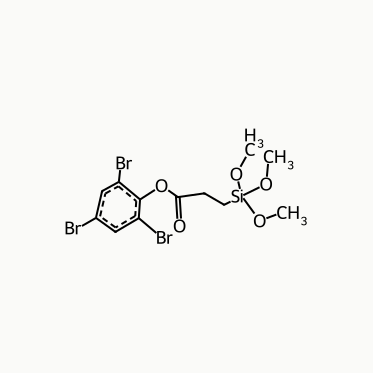 CO[Si](CCC(=O)Oc1c(Br)cc(Br)cc1Br)(OC)OC